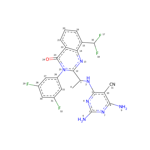 CC(Nc1nc(N)nc(N)c1C#N)c1nc2c(C(F)F)cccc2c(=O)n1-c1cc(F)cc(F)c1